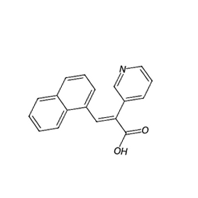 O=C(O)/C(=C/c1cccc2ccccc12)c1cccnc1